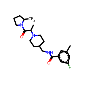 Cc1cc(F)cc(C(=O)NCC2CCN(C(C)C(=O)N3CCCC3C(F)(F)F)CC2)c1